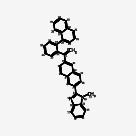 C=C(c1ccc2cc(-c3nc4ccccc4n3C)ccc2c1)c1ccccc1-c1cccc2ccccc12